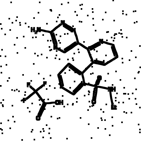 CCNS(=O)(=O)c1ccccc1-c1cccnc1-c1cnc(N)nc1.O=C(O)C(F)(F)F